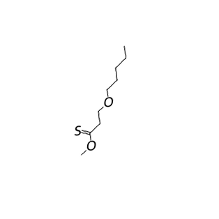 CCCCCOCCC(=S)OC